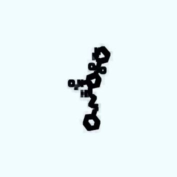 O=[N+]([O-])c1cc(S(=O)(=O)c2cccnn2)ccc1NCCSc1ccccc1